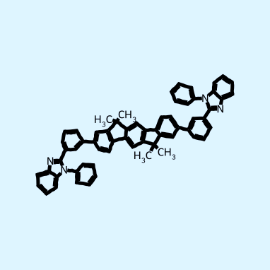 CC1(C)c2cc(-c3cccc(-c4nc5ccccc5n4-c4ccccc4)c3)ccc2-c2cc3c(cc21)-c1ccc(-c2cccc(-c4nc5ccccc5n4-c4ccccc4)c2)cc1C3(C)C